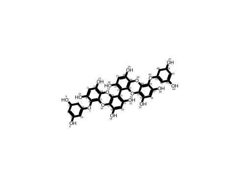 OC1=CC(O)CC(Oc2c(O)cc(O)c3c2Oc2c(O)cc(O)c(-c4c(O)cc(O)c5c4Oc4c(O)cc(O)c(OC6=CC(O)=CC(O)C6)c4O5)c2O3)=C1